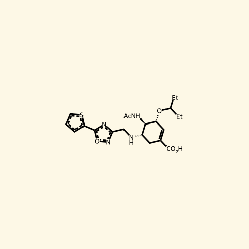 CCC(CC)O[C@@H]1C=C(C(=O)O)C[C@H](NCc2noc(-c3cccs3)n2)[C@H]1NC(C)=O